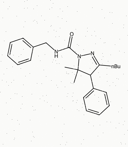 CCCCC1=NN(C(=O)NCc2ccccc2)C(C)(C)C1c1ccccc1